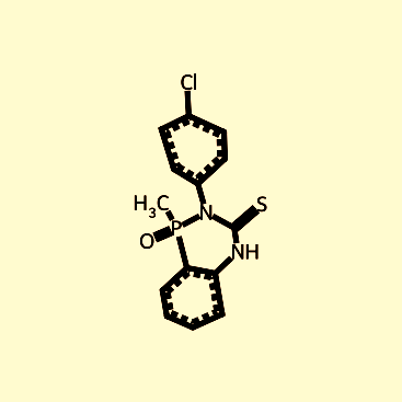 CP1(=O)c2ccccc2NC(=S)N1c1ccc(Cl)cc1